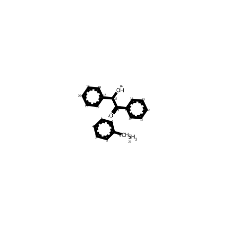 Cc1ccccc1.O=C(c1ccccc1)C(O)c1ccccc1.S